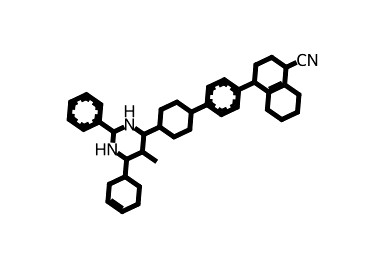 CC1C(C2CC=CCC2)NC(c2ccccc2)NC1C1CCC(c2ccc(C3CCC(C#N)C4=C3CCCC4)cc2)CC1